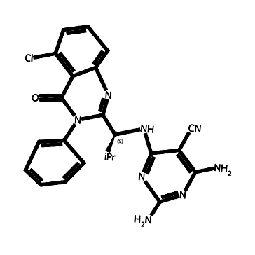 CC(C)[C@H](Nc1nc(N)nc(N)c1C#N)c1nc2cccc(Cl)c2c(=O)n1-c1ccccc1